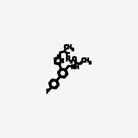 C=CC(=O)NCc1ccc(-c2ccc(F)cc2)cc1-c1ccn(CC(C)C)n1